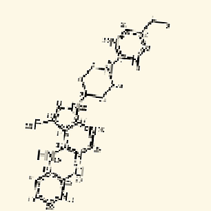 CCc1cnc(N2CCC(n3cc(F)c4c(Nc5cccnc5Cl)ncnc43)CC2)nc1